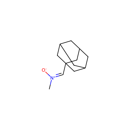 C[N+]([O-])=CC12CC3CC(CC(C3)C1)C2